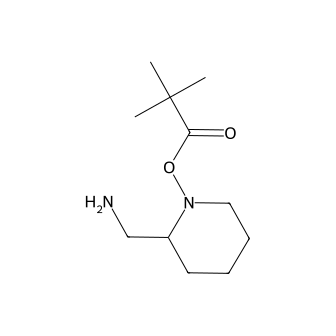 CC(C)(C)C(=O)ON1CCCCC1CN